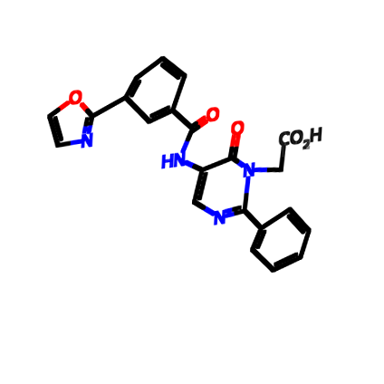 O=C(O)Cn1c(-c2ccccc2)ncc(NC(=O)c2cccc(-c3ncco3)c2)c1=O